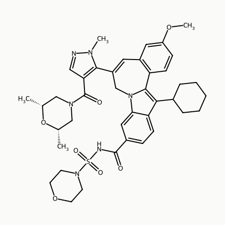 COc1ccc2c(c1)C=C(c1c(C(=O)N3C[C@@H](C)O[C@@H](C)C3)cnn1C)Cn1c-2c(C2CCCCC2)c2ccc(C(=O)NS(=O)(=O)N3CCOCC3)cc21